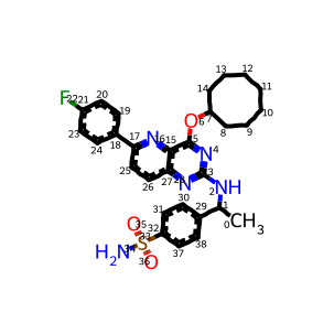 CC(Nc1nc(OC2CCCCCCC2)c2nc(-c3ccc(F)cc3)ccc2n1)c1ccc(S(N)(=O)=O)cc1